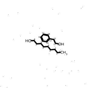 CCCCCCCCCO.OCCc1ccccc1